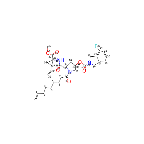 C=CCCCCCCC(=O)N1C[C@H](OC(=O)N2Cc3cccc(F)c3C2)C[C@H]1C(=O)N[C@]1(C(=O)OC)CC1C=C